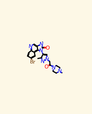 Cc1nn(CC(=O)N2CCN(C)CC2)cc1-n1c(=O)n(C)c2cnc3ccc(Br)cc3c21